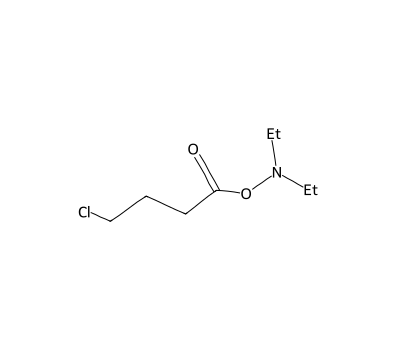 CCN(CC)OC(=O)CCCCl